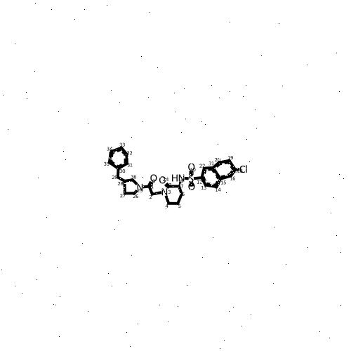 O=C(CN1CCC[C@H](NS(=O)(=O)c2ccc3cc(Cl)ccc3c2)C1=O)N1CCC(Cc2ccccc2)C1